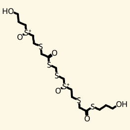 O=C(CSCC[S+]([O-])CSCSC(=O)CSCC[S+]([O-])CCCO)SCCCO